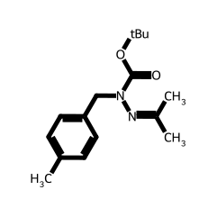 CC(C)=NN(Cc1ccc(C)cc1)C(=O)OC(C)(C)C